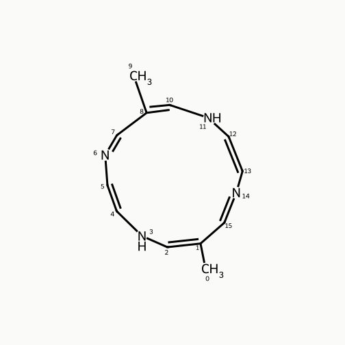 CC1=CNC=CN=CC(C)=CNC=CN=C1